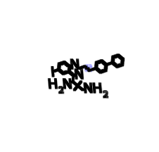 CC(C)(CN)C(N)c1nc(/C=C/c2ccc(-c3ccccc3)cc2)nc2ccc(I)cc12